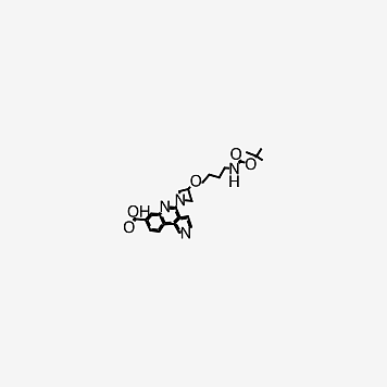 CC(C)(C)OC(=O)NCCCCOC1CN(c2nc3cc(C(=O)O)ccc3c3cnccc23)C1